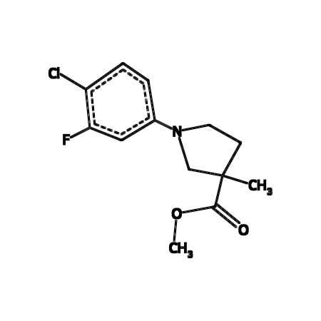 COC(=O)C1(C)CCN(c2ccc(Cl)c(F)c2)C1